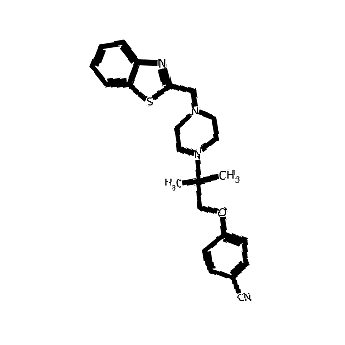 CC(C)(COc1ccc(C#N)cc1)N1CCN(Cc2nc3ccccc3s2)CC1